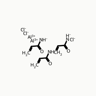 C=CC([NH-])=O.C=CC([NH-])=O.C=CC([NH-])=O.[Al+3].[Al+3].[Cl-].[Cl-].[Cl-]